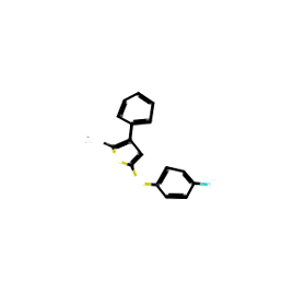 CC(=O)c1sc(Sc2ccc(F)cc2)cc1-c1ccccc1